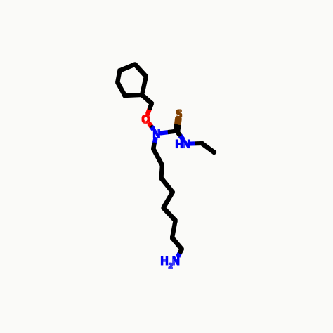 CCNC(=S)N(CCCCCCCCN)OCC1CCCCC1